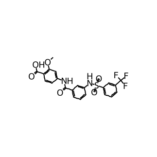 COc1cc(NC(=O)c2cccc(NS(=O)(=O)c3cccc(C(F)(F)F)c3)c2)ccc1C(=O)O